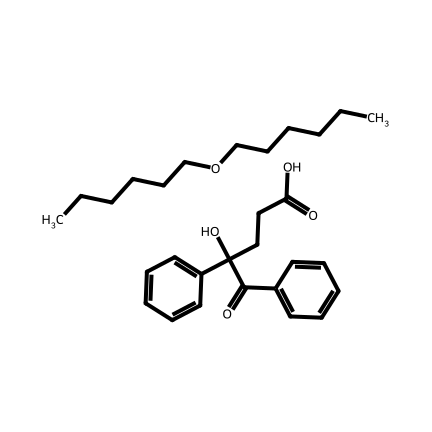 CCCCCCOCCCCCC.O=C(O)CCC(O)(C(=O)c1ccccc1)c1ccccc1